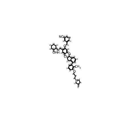 Cc1c(OCCCN2CC[C@H](F)C2)cccc1-c1cccc2c1CC[C@@H]2Oc1cc(OCc2cncc(C#N)c2)c(CN[C@@H]2CCCC[C@@H]2O)cc1Cl